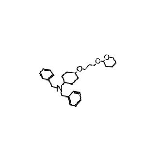 c1ccc(CN(Cc2ccccc2)C2CCC(OCCCOC3CCCCO3)CC2)cc1